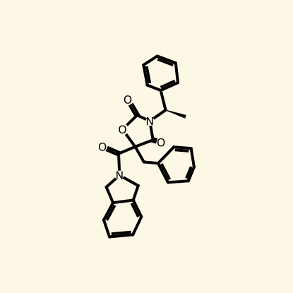 C[C@H](c1ccccc1)N1C(=O)OC(Cc2ccccc2)(C(=O)N2Cc3ccccc3C2)C1=O